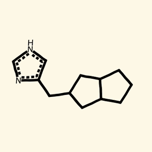 c1nc(CC2CC3CCCC3C2)c[nH]1